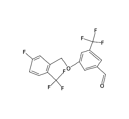 O=Cc1cc(OCc2cc(F)ccc2C(F)(F)F)cc(C(F)(F)F)c1